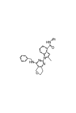 Cc1cc2c(C(=O)NC(C)C)cccc2n1-c1nc2c(c(NCc3ccccc3)n1)COCC2